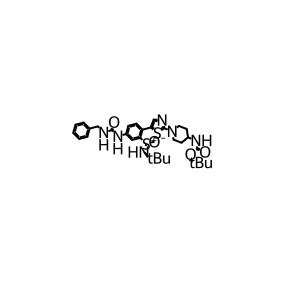 CC(C)(C)N[S+]([O-])c1cc(NC(=O)NCc2ccccc2)ccc1-c1cnc(N2CCC(NC(=O)OC(C)(C)C)CC2)s1